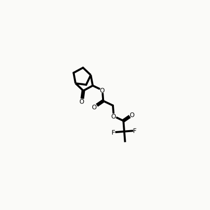 CC(F)(F)C(=O)OCC(=O)OC1C(=O)C2CCC1C2